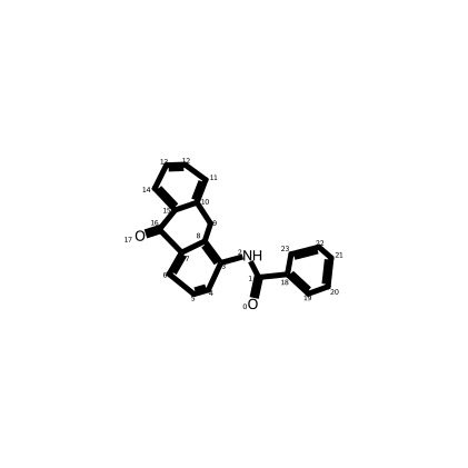 O=C(Nc1cccc2c1Cc1ccccc1C2=O)c1ccccc1